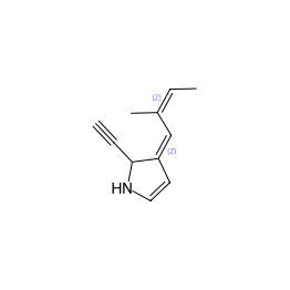 C#CC1NC=C/C1=C/C(C)=C\C